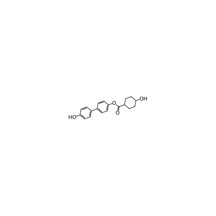 O=C(Oc1ccc(-c2ccc(O)cc2)cc1)C1CCC(O)CC1